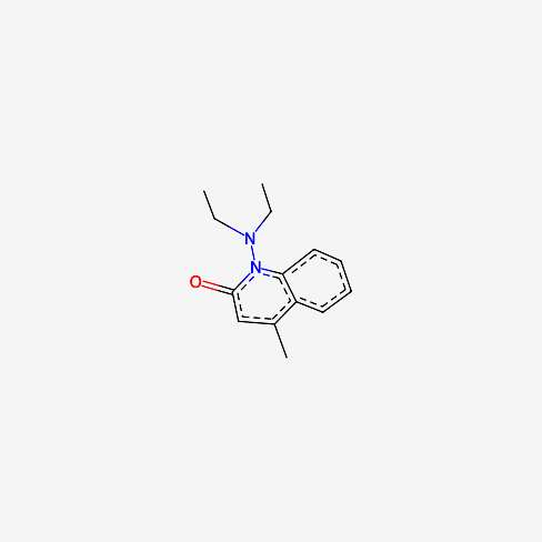 CCN(CC)n1c(=O)cc(C)c2ccccc21